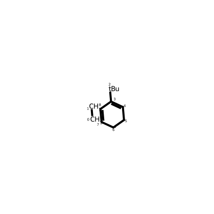 CC.CC(C)(C)C1=CC[CH]C=C1